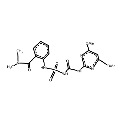 COc1cc(OC)nc(NC(=O)NS(=O)(=O)Nc2ccccc2C(=O)N(C)C)n1